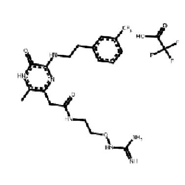 Cc1[nH]c(=O)c(NCCc2cccc(C(F)(F)F)c2)nc1CC(=O)NCCONC(=N)N.O=C(O)C(F)(F)F